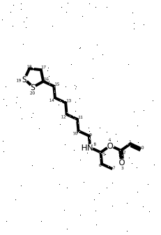 C=CC(=O)OC(CC)NCCCCCCCC1CCSS1